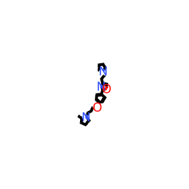 CC1CCCN1CCCOc1ccc(-c2nc(CCN3CCCC3)co2)cc1